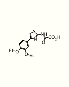 CCOc1ccc(-c2csc(NC(=O)C(=O)O)n2)cc1OCC